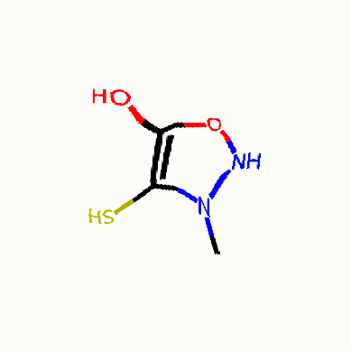 CN1NOC(O)=C1S